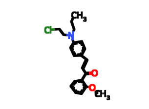 CCCN(CCCl)c1ccc(/C=C/C(=O)c2ccccc2OC)cc1